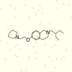 CCC(CC)CN1CCc2cc(OCCN3CCCCC3)ccc2C1